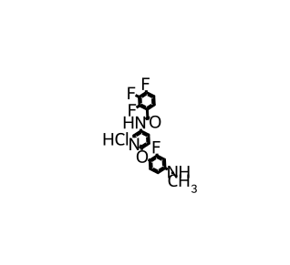 CNc1ccc(Oc2ccc(NC(=O)c3ccc(F)c(F)c3F)cn2)c(F)c1.Cl